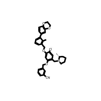 Cc1c(COc2cc(OCc3cccc(C#N)c3)c(CN3CCCC[C@H]3C)cc2Cl)cccc1-c1ccc2c(c1)OCCO2